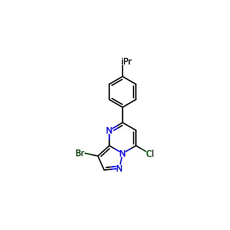 CC(C)c1ccc(-c2cc(Cl)n3ncc(Br)c3n2)cc1